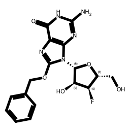 Nc1nc2c(nc(OCc3ccccc3)n2[C@@H]2O[C@H](CO)[C@@H](F)[C@H]2O)c(=O)[nH]1